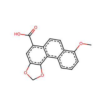 COc1cccc2c1ccc1c(C(=O)O)cc3c(c12)OCO3